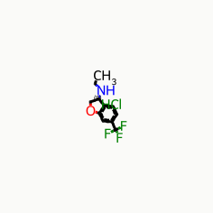 CCN[C@@H]1COc2cc(C(F)(F)F)ccc21.Cl